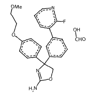 COCCOc1ccc(C2(c3cccc(-c4cccnc4F)c3)COC(N)=N2)cc1.O=CO